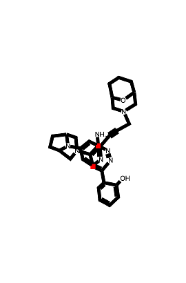 Nc1nnc(-c2ccccc2O)cc1N1CC2CCC(C1)N2c1ccnc(C#CCN2CC3CCCC(C2)O3)c1